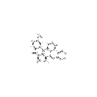 C=C(/C=C/C1=CCCC=C1)C1=C(c2ccccc2)c2cc(C)ccc2NC1=C